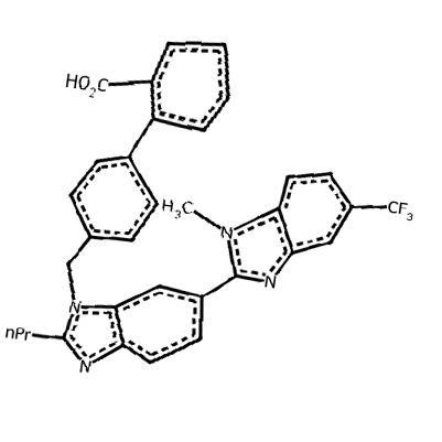 CCCc1nc2ccc(-c3nc4cc(C(F)(F)F)ccc4n3C)cc2n1Cc1ccc(-c2ccccc2C(=O)O)cc1